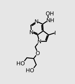 OCC(CO)OCn1cc(I)c2c(NO)ncnc21